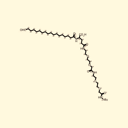 CCCCNC(=O)COCCOCCNC(=O)COCCOCCNC(=O)CCC(NC(=O)CCCCCCCCCCCCCCCCC=O)C(=O)O